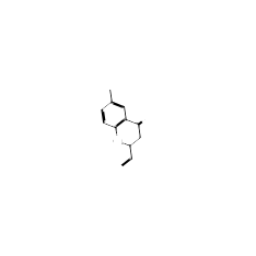 C=CC1CC(=O)c2cc(C)ccc2O1